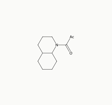 CC(=O)C(=O)N1CCCC2CCCCC21